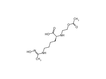 CC(=O)OCCN[C@@H](CCCCNC(C)=NO)C(=O)O